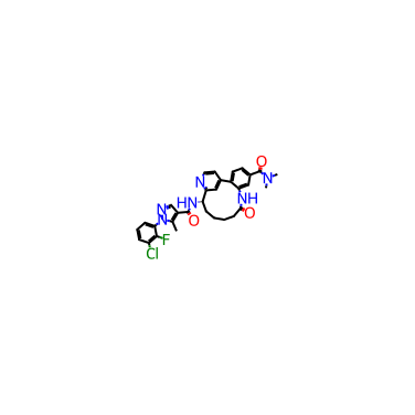 Cc1c(C(=O)N[C@H]2CCCCC(=O)Nc3cc(C(=O)N(C)C)ccc3-c3ccnc2c3)cnn1-c1cccc(Cl)c1F